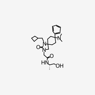 C[C@@H](CO)NC(=O)CN1CC2(CCC(c3ccccc3)(N(C)C)CC2)N(CC2CCC2)C1=O